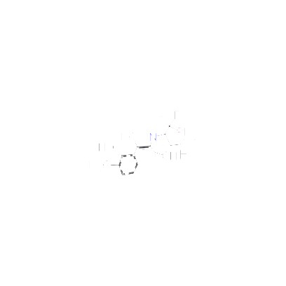 CC/C(NC(CC)C(F)(F)P)=C(/C)c1cccc(C)c1C